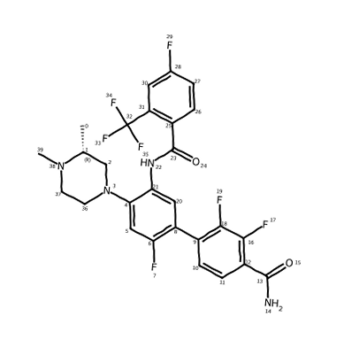 C[C@@H]1CN(c2cc(F)c(-c3ccc(C(N)=O)c(F)c3F)cc2NC(=O)c2ccc(F)cc2C(F)(F)F)CCN1C